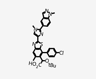 Cc1cc2nc(-c3cn(C)c(-c4ccc5c(cnn5C)c4)n3)sc2c(-c2ccc(Cl)cc2)c1C(OC(C)(C)C)C(=O)O